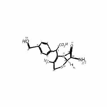 CC1=C(C(C(=O)O)c2ccc(CO)cc2)N2C(=O)C(N)[C@H]2SC1